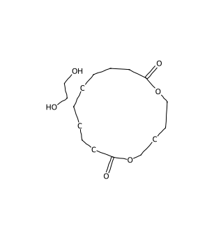 O=C1CCCCCCCCC(=O)OCCCCO1.OCCO